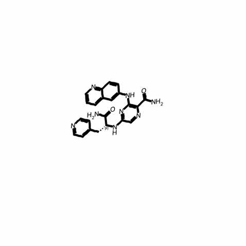 NC(=O)c1ncc(N[C@H](Cc2ccncc2)C(N)=O)nc1Nc1ccc2ncccc2c1